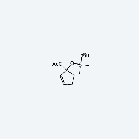 CCCC[Si](C)(C)OC1(OC(C)=O)C=CCC1